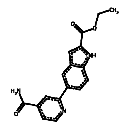 CCOC(=O)c1cc2cc(-c3cc(C(N)=O)ccn3)ccc2[nH]1